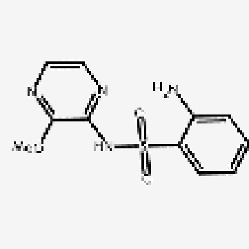 COc1nccnc1NS(=O)(=O)c1ccccc1N